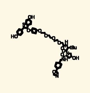 CC(C)(C)C(NC(=O)COCCOCCOCCOc1ccc(Oc2c(-c3ccc(O)cc3)sc3cc(O)ccc23)cc1)C(=O)N1C[C@H](O)C[C@H]1C(=O)NCc1ccc(-c2cnco2)cc1